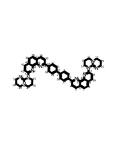 c1cc(-c2ccc3ccc4ccc(N5CCCN6CCCN=C65)nc4c3n2)ccc1-c1ccc(-c2ccc3ccc4ccc(N5CCCN6CCCN=C65)nc4c3n2)cc1